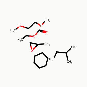 C1CCCCC1.CC1CO1.CCC(C)C.CCOC=O.COCCOC